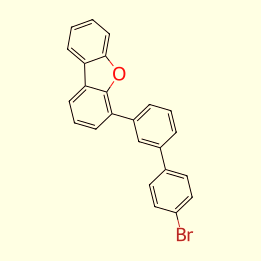 Brc1ccc(-c2cccc(-c3cccc4c3oc3ccccc34)c2)cc1